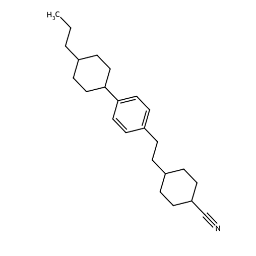 CCCC1CCC(c2ccc(CCC3CCC(C#N)CC3)cc2)CC1